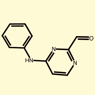 O=Cc1nccc(Nc2ccccc2)n1